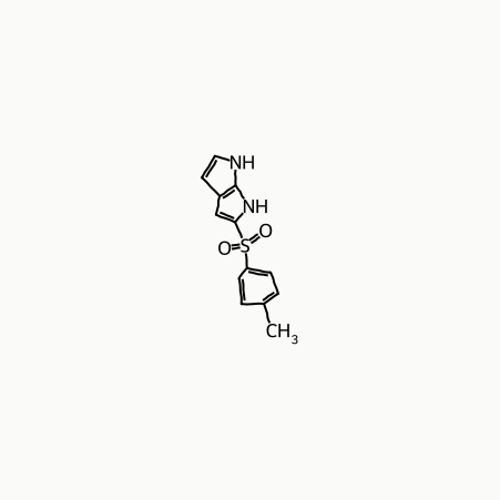 Cc1ccc(S(=O)(=O)c2cc3cc[nH]c3[nH]2)cc1